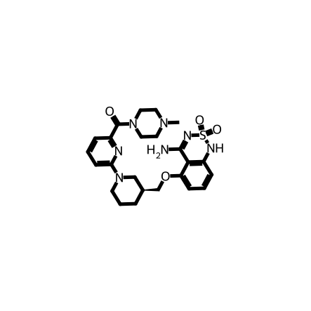 CN1CCN(C(=O)c2cccc(N3CCC[C@H](COc4cccc5c4C(N)=NS(=O)(=O)N5)C3)n2)CC1